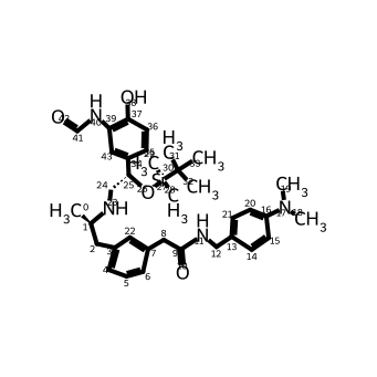 C[C@H](Cc1cccc(CC(=O)NCc2ccc(N(C)C)cc2)c1)NC[C@@H](O[Si](C)(C)C(C)(C)C)c1ccc(O)c(NC=O)c1